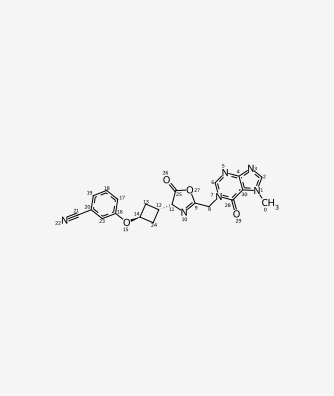 Cn1cnc2ncn(CC3=NC([C@H]4C[C@H](Oc5cccc(C#N)c5)C4)C(=O)O3)c(=O)c21